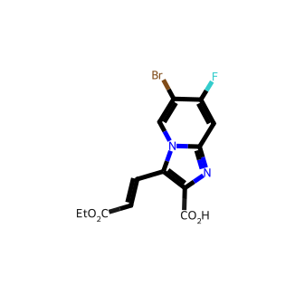 CCOC(=O)/C=C/c1c(C(=O)O)nc2cc(F)c(Br)cn12